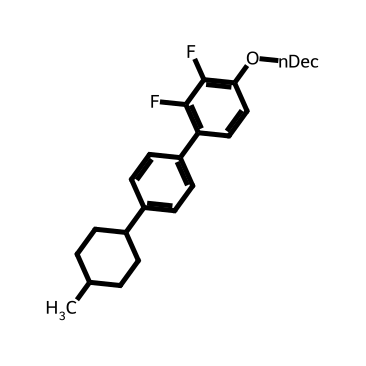 CCCCCCCCCCOc1ccc(-c2ccc(C3CCC(C)CC3)cc2)c(F)c1F